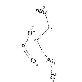 CCCCC[CH2][Al+][CH2]C.O=P[O-]